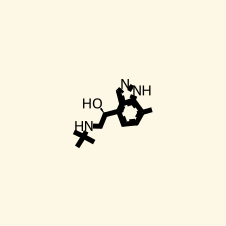 Cc1ccc([C@@H](O)CNC(C)(C)C)c2cn[nH]c12